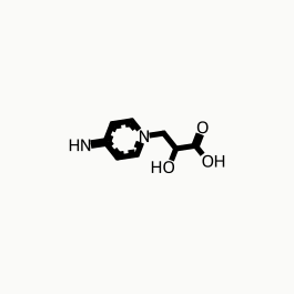 N=c1ccn(CC(O)C(=O)O)cc1